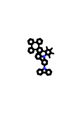 Cc1c(C)c(C)c(-n2c3ccccc3c3cc(-n4c5ccccc5c5ccccc54)ccc32)c(-c2ccc3c(c2)-c2ccccc2-c2ccccc2-c2ccccc2-3)c1C